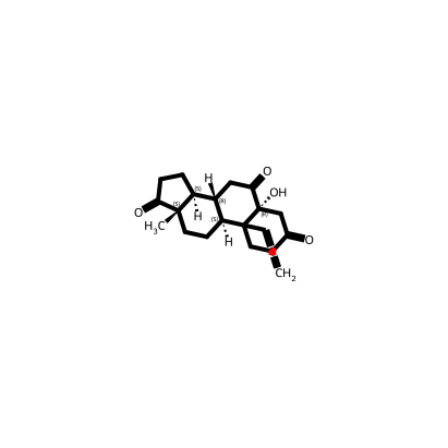 C=C=CC12CCC(=O)C[C@]1(O)C(=O)C[C@@H]1[C@@H]2CC[C@]2(C)C(=O)CC[C@@H]12